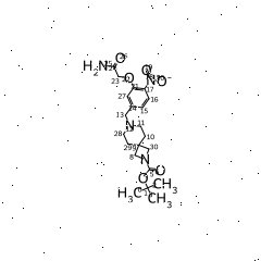 CC(C)(C)OC(=O)N1CC2(CCN(Cc3ccc([N+](=O)[O-])c(OCC(N)=O)c3)CC2)C1